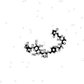 CC(C)[C@H](NC(=O)CCN1C(=O)C=CC1=O)C(=O)N[C@@H](C)C(=O)Nc1ccc(COC(=O)N[C@H](CO)C(=O)N[C@@H]2[C@@H](O)[C@H](O)[C@@H](Nc3ncnc4nc[nH]c34)O[C@H]2CO)cc1